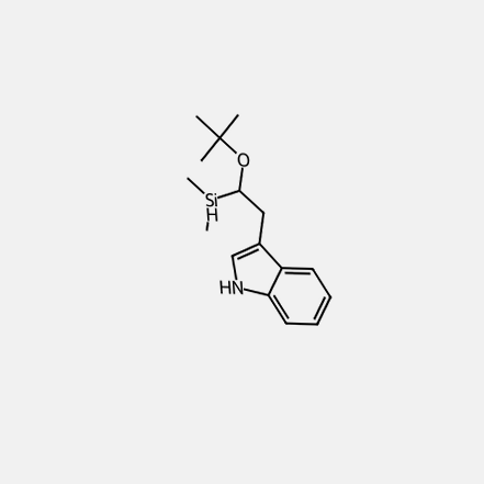 C[SiH](C)C(Cc1c[nH]c2ccccc12)OC(C)(C)C